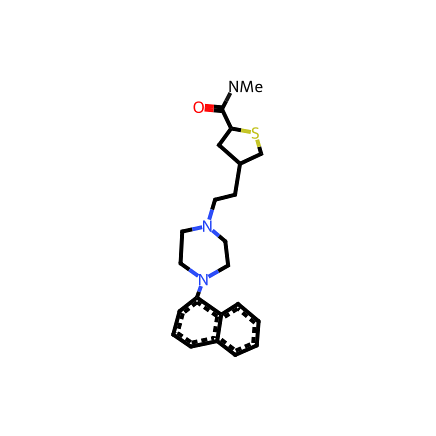 CNC(=O)C1CC(CCN2CCN(c3cccc4ccccc34)CC2)CS1